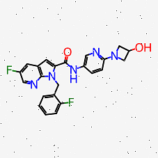 O=C(Nc1ccc(N2CC(O)C2)nc1)c1cc2cc(F)cnc2n1Cc1ccccc1F